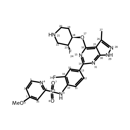 COc1ccnc(S(=O)(=O)Nc2ccc(-c3nc(O[C@@H]4CCNC[C@@H]4F)c4c(C)n[nH]c4n3)cc2F)c1